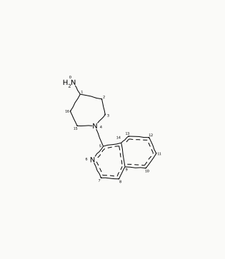 NC1CCN(c2nccc3ccccc23)CC1